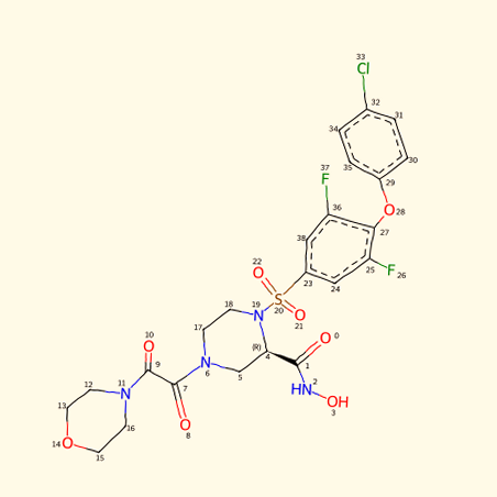 O=C(NO)[C@H]1CN(C(=O)C(=O)N2CCOCC2)CCN1S(=O)(=O)c1cc(F)c(Oc2ccc(Cl)cc2)c(F)c1